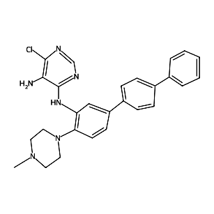 CN1CCN(c2ccc(-c3ccc(-c4ccccc4)cc3)cc2Nc2ncnc(Cl)c2N)CC1